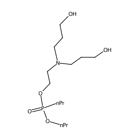 CCCOP(=O)(CCC)OCCN(CCCO)CCCO